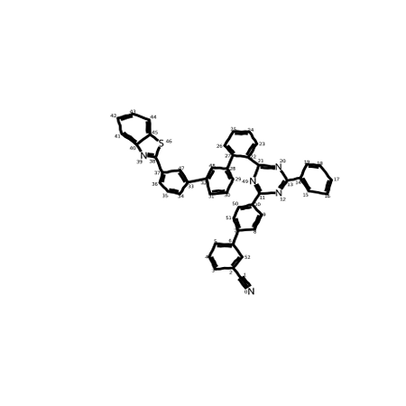 N#Cc1cccc(-c2ccc(-c3nc(-c4ccccc4)nc(-c4ccccc4-c4cccc(-c5cccc(-c6nc7ccccc7s6)c5)c4)n3)cc2)c1